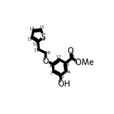 COC(=O)c1cc(O)cc(OCCc2cccs2)c1